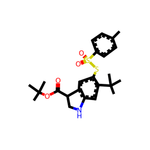 Cc1ccc(S(=O)(=O)Sc2cc3c(cc2C(C)(C)C)NCC3C(=O)OC(C)(C)C)cc1